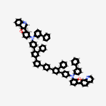 c1ccc(-c2cccc(N(c3ccc(-c4ccc(-c5cccc(-c6ccc(-c7ccc(-c8ccc(N(c9cccc(-c%10ccccc%10)c9)c9cccc%10c9oc9c%10ccc%10cccnc%109)cc8)c(-c8ccccc8)c7)cc6)c5)cc4-c4ccccc4)cc3)c3ccc4oc5c6ccccc6ncc5c4c3)c2)cc1